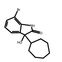 O=C1Nc2c(Br)cccc2C1(O)C1CCCCCC1